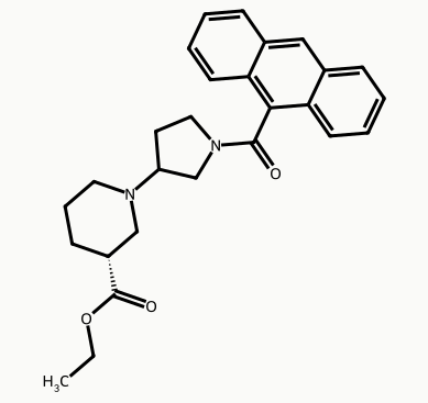 CCOC(=O)[C@@H]1CCCN(C2CCN(C(=O)c3c4ccccc4cc4ccccc34)C2)C1